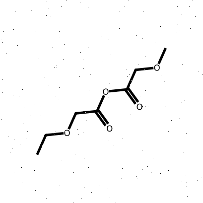 CCOCC(=O)OC(=O)COC